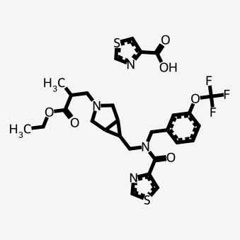 CCOC(=O)C(C)CN1CC2C(C1)C2CN(Cc1cccc(OC(F)(F)F)c1)C(=O)c1cscn1.O=C(O)c1cscn1